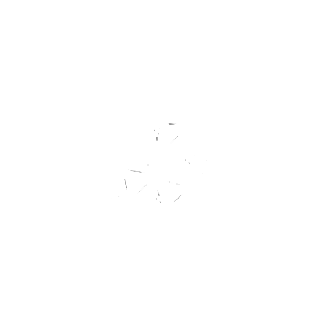 OC(c1cccnc1-c1cc(Cl)cc(Cl)c1)C(c1cccnc1)N1CCC(F)(F)C1